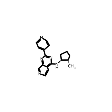 C[C@H]1CCC[C@@H]1Nc1nc(-c2ccncc2)nc2cnccc12